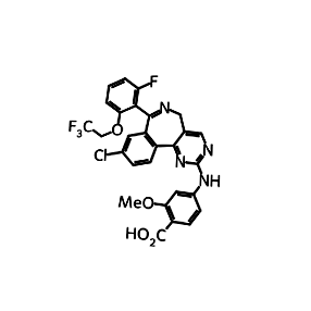 COc1cc(Nc2ncc3c(n2)-c2ccc(Cl)cc2C(c2c(F)cccc2OCC(F)(F)F)=NC3)ccc1C(=O)O